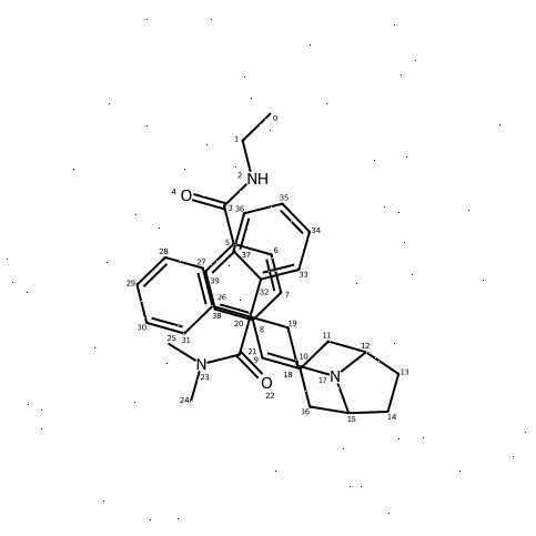 CCNC(=O)c1ccc(C=C2CC3CCC(C2)N3CCC(C(=O)N(C)C)(c2ccccc2)c2ccccc2)cc1